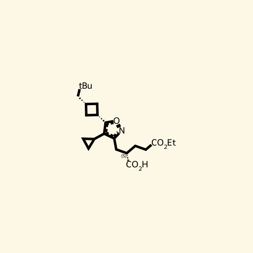 CCOC(=O)CC[C@@H](Cc1noc([C@H]2C[C@@H](CC(C)(C)C)C2)c1C1CC1)C(=O)O